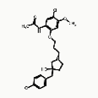 COc1cc(OCCCN2CCC(O)(Cc3ccc(Cl)cc3)C2)c(NC(C)=O)cc1Cl